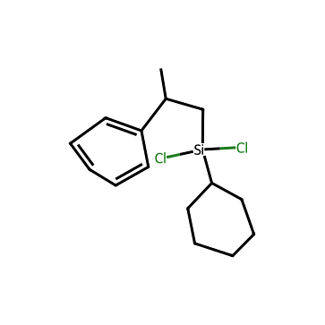 CC(C[Si](Cl)(Cl)C1CCCCC1)c1ccccc1